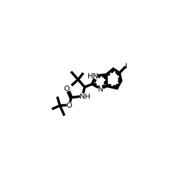 CC(C)(C)OC(=O)NC(c1nc2ccc(I)cc2[nH]1)C(C)(C)C